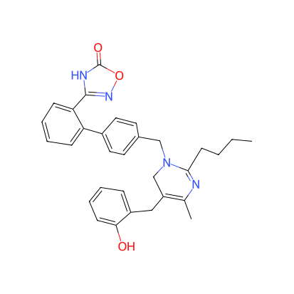 CCCCC1=NC(C)=C(Cc2ccccc2O)CN1Cc1ccc(-c2ccccc2-c2noc(=O)[nH]2)cc1